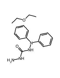 CCOCC.NNC(=O)NN(c1ccccc1)c1ccccc1